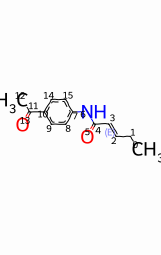 CC/C=C/C(=O)Nc1ccc(C(C)=O)cc1